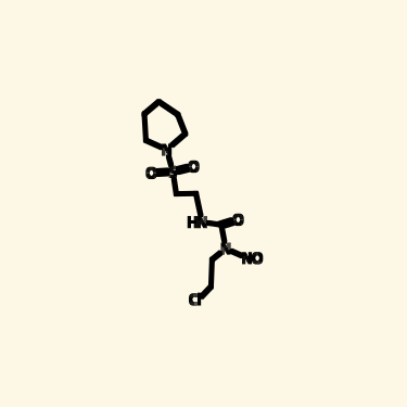 O=NN(CCCl)C(=O)NCCS(=O)(=O)N1CCCCC1